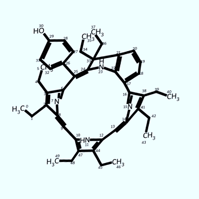 CCC1=C(CC)c2nc1cc1[nH]c(cc3nc(c4cccc5c4[nH]c(c2-c2ccc(O)cc2)C5(CC)CC)C(CC)=C3CC)c(CC)c1CC